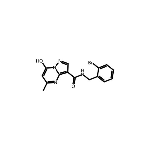 Cc1cc(O)n2ncc(C(=O)NCc3ccccc3Br)c2n1